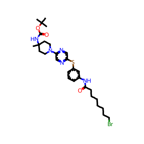 CC1(NC(=O)OC(C)(C)C)CCN(c2cnc(Sc3cccc(NC(=O)CCCCCCCBr)c3)cn2)CC1